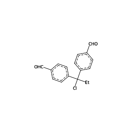 CCC(Cl)(c1ccc(C=O)cc1)c1ccc(C=O)cc1